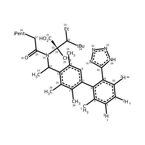 [2H]c1c([2H])c(C)c(-c2cc(C)c(C(C)N(C(=O)CC(C)CCC)[C@](C)(C(=O)O)C(CC)C(C)(C)C)c(C)c2C)c(-c2nnn[nH]2)c1[2H]